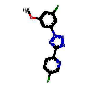 COc1cc(F)cc(-n2nnc(-c3ccc(F)cn3)n2)c1